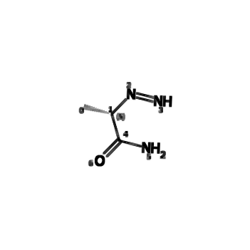 C[C@H](N=N)C(N)=O